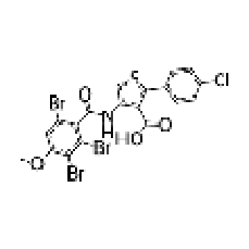 COc1cc(Br)c(C(=O)Nc2csc(-c3ccc(Cl)cc3)c2C(=O)O)c(Br)c1Br